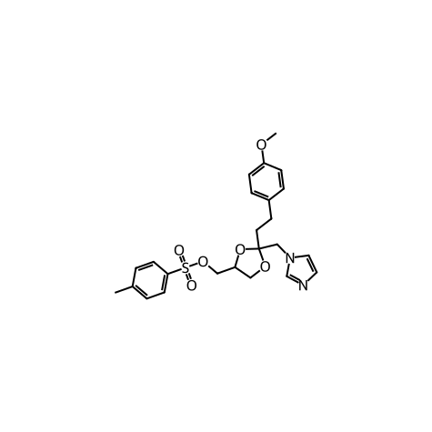 COc1ccc(CCC2(Cn3ccnc3)OCC(COS(=O)(=O)c3ccc(C)cc3)O2)cc1